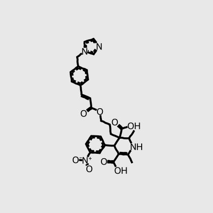 CC1=C(C(=O)O)C(c2cccc([N+](=O)[O-])c2)C(CCCOC(=O)C=Cc2ccc(Cn3ccnc3)cc2)(C(=O)O)C(C)N1